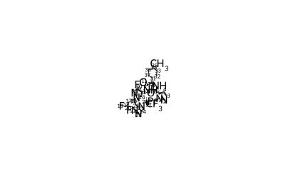 CC(C)n1nccc1C(=O)N[C@H](C(=O)Nc1cn([C@@H](CC(F)F)c2nncn2CC(F)(F)F)nc1F)[C@H]1CC[C@H](C)CC1